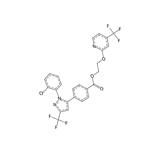 O=C(OCCOc1cc(C(F)(F)F)ccn1)c1ccc(-c2cc(C(F)(F)F)nn2-c2ccccc2Cl)cc1